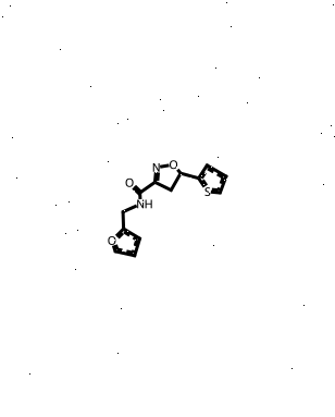 O=C(NCc1ccco1)C1=NOC(c2cccs2)C1